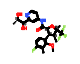 COc1c([C@H]2[C@H](C(=O)Nc3ccnc([C@@H](O)[C@H](C)O)c3)O[C@@](C)(C(F)(F)F)[C@H]2C)ccc(F)c1C